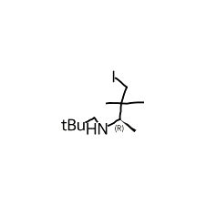 C[C@@H](NCC(C)(C)C)C(C)(C)CI